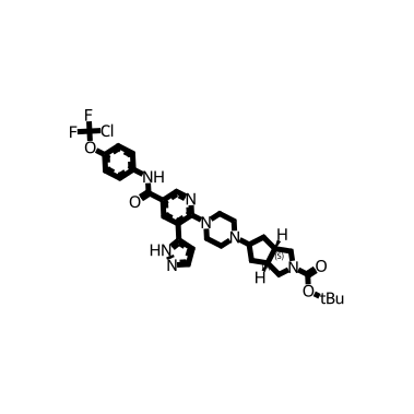 CC(C)(C)OC(=O)N1C[C@H]2CC(N3CCN(c4ncc(C(=O)Nc5ccc(OC(F)(F)Cl)cc5)cc4-c4ccn[nH]4)CC3)C[C@H]2C1